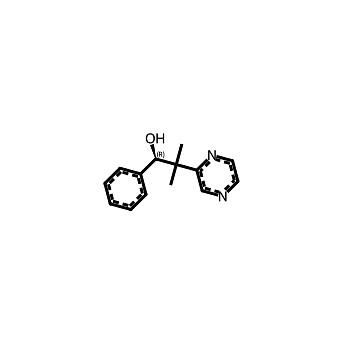 CC(C)(c1cnccn1)[C@H](O)c1ccccc1